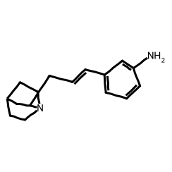 Nc1cccc(/C=C/CC2CC3CCN2CC3)c1